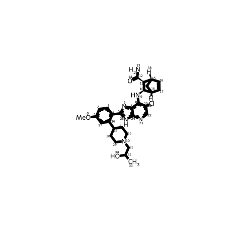 COc1ccc(-c2nc3c(N[C@H]4[C@@H](C(N)=O)[C@@H]5C=C[C@H]4C5)c(Cl)cnc3[nH]2)c(C2CCN(CC(C)O)CC2)c1